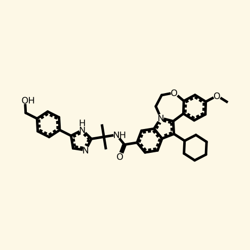 COc1ccc2c(c1)OCCn1c-2c(C2CCCCC2)c2ccc(C(=O)NC(C)(C)c3ncc(-c4ccc(CO)cc4)[nH]3)cc21